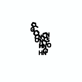 Cc1cc(OC2=CC=CC2C)ccc1N1C(=O)Nc2c(C(=O)NC3CCNC3)sc3nccc1c23